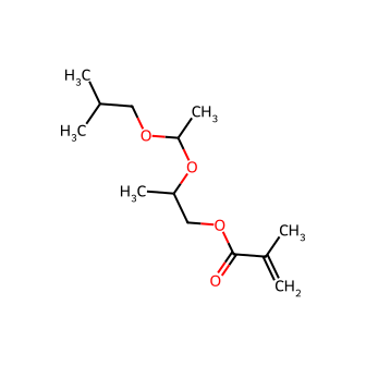 C=C(C)C(=O)OCC(C)OC(C)OCC(C)C